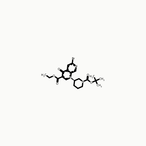 CCOC(=O)c1cn([C@@H]2CCCN(C(=O)OC(C)(C)C)C2)c2cnc(Br)cc2c1=O